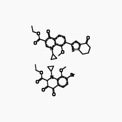 CCOC(=O)C1C(=O)C(=O)c2ccc(Br)c(OC)c2N1C1CC1.CCOC(=O)c1cn(C2CC2)c2c(OC)c(-c3cc4c(s3)CCCC4=O)ccc2c1=O